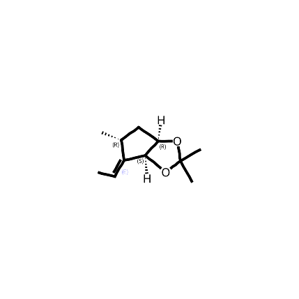 C/C=C1\[C@H](C)C[C@H]2OC(C)(C)O[C@@H]12